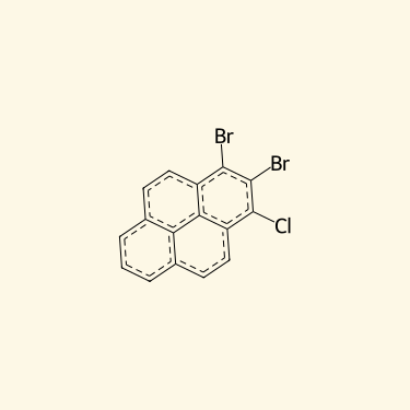 Clc1c(Br)c(Br)c2ccc3cccc4ccc1c2c43